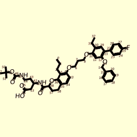 CCCc1c(OCCCOc2cc(OCc3ccccc3)c(-c3ccc(F)cc3)cc2CC)ccc2c1OC(C(=O)NC(CCNC(=O)OC(C)(C)C)CC(=O)O)CC2